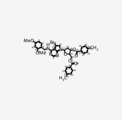 COc1ccc(CNc2ncnc3c2c(Br)cn3C2CC(OC(=O)c3ccc(C)cc3)C(COC(=O)c3ccc(C)cc3)O2)c(OC)c1